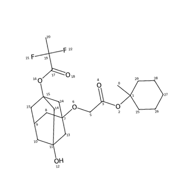 CC1(OC(=O)COC23CC4CC(O)(C2)CC(OC(=O)C(C)(F)F)(C4)C3)CCCCC1